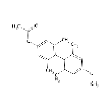 COc1cc(C)c(-c2c(C)cc(OC(C)=O)cc2C)c(C)c1